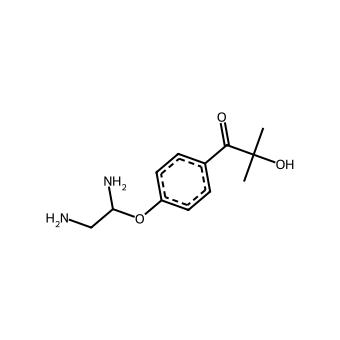 CC(C)(O)C(=O)c1ccc(OC(N)CN)cc1